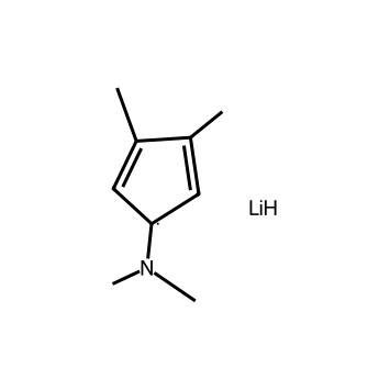 CC1=C[C](N(C)C)C=C1C.[LiH]